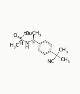 C[C@H](N[SH](C)(=O)C(C)(C)C)c1ccc(C(C)(C)C#N)cc1